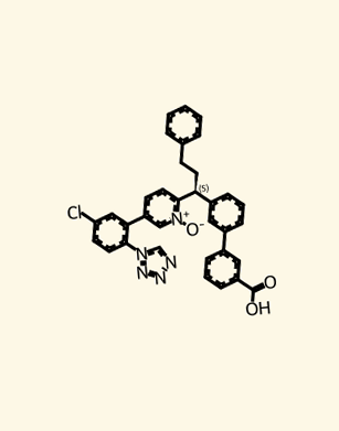 O=C(O)c1cccc(-c2cccc([C@H](CCc3ccccc3)c3ccc(-c4cc(Cl)ccc4-n4cnnn4)c[n+]3[O-])c2)c1